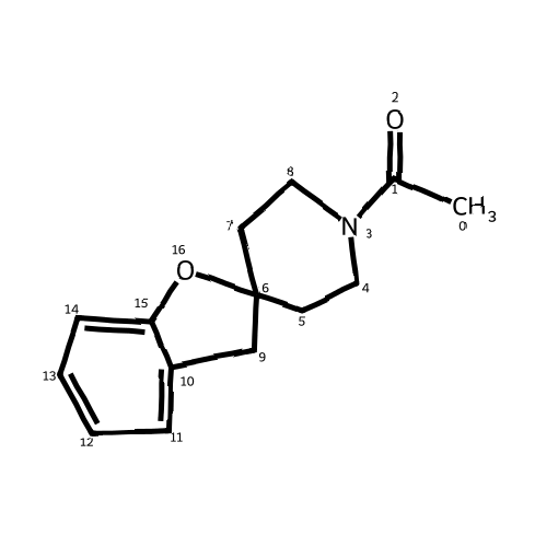 CC(=O)N1CCC2(CC1)Cc1ccccc1O2